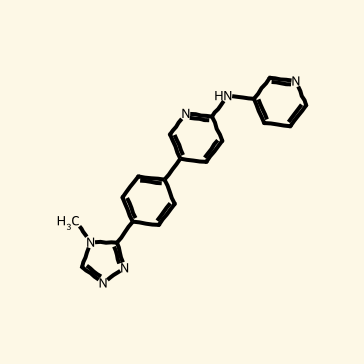 Cn1cnnc1-c1ccc(-c2ccc(Nc3cccnc3)nc2)cc1